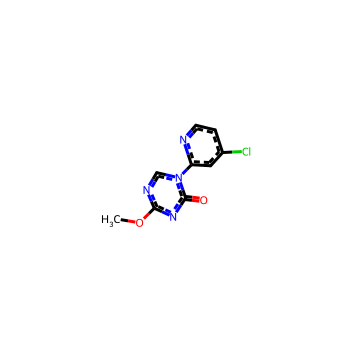 COc1ncn(-c2cc(Cl)ccn2)c(=O)n1